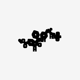 CCOC(=O)c1ccc2c(c1)NC(=O)/C2=C(\Nc1ccc(CN(C)CCNS(C)(=O)=O)cc1)c1ccccc1